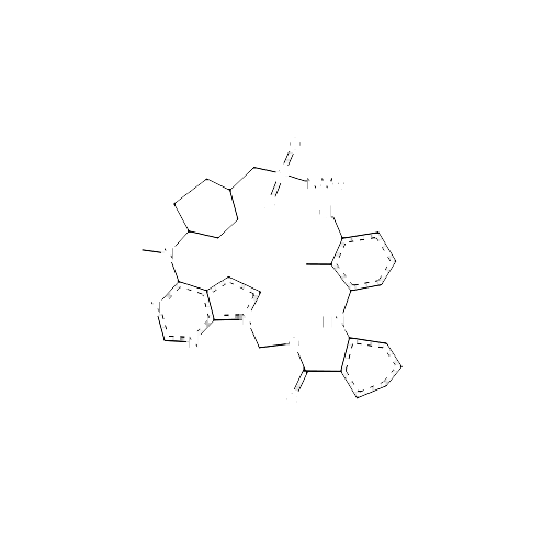 CNS(=O)(=O)CC1CCC(N(C)c2ncnc3c2ccn3COC(=O)c2ccccc2Nc2cccc(Cl)c2C)CC1